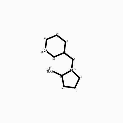 CC(C)(C)C1CCCN1CC1CCCOC1